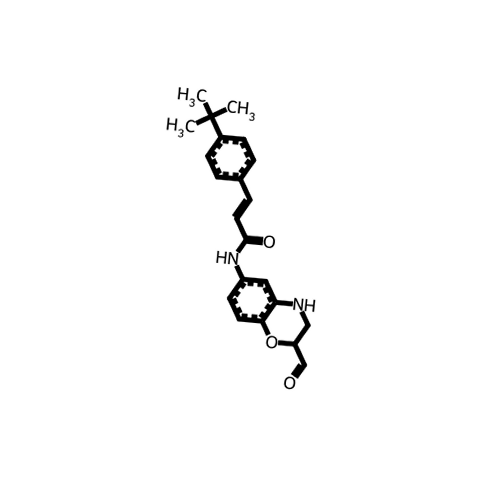 CC(C)(C)c1ccc(/C=C/C(=O)Nc2ccc3c(c2)NCC(C=O)O3)cc1